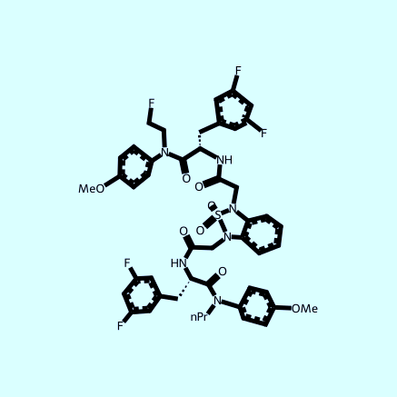 CCCN(C(=O)[C@H](Cc1cc(F)cc(F)c1)NC(=O)CN1c2ccccc2N(CC(=O)N[C@@H](Cc2cc(F)cc(F)c2)C(=O)N(CCF)c2ccc(OC)cc2)S1(=O)=O)c1ccc(OC)cc1